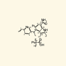 C=Cc1ccc(C(C)c2c(F)cc(C(N)=O)c3[nH]c(C)c(C)c23)cn1.O=C(O)C(F)(F)F